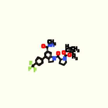 CNC(=O)c1cc(-c2ccc(C(F)(F)F)cc2)c2c(c1)N(C(=O)C1CCCN1C(=O)OC(C)(C)C)CC2